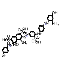 Nc1cc(O)ccc1/N=N/c1ccc(Nc2ccc(/N=N/c3c(S(=O)(=O)O)cc4cc(S(=O)(=O)O)c(/N=N/c5ccc(S)cc5)c(O)c4c3N)cc2S(=O)(=O)O)cc1